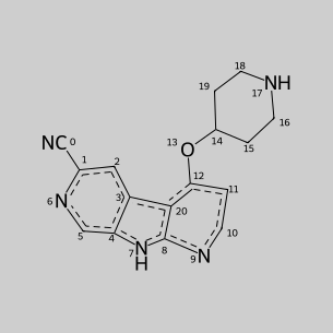 N#Cc1cc2c(cn1)[nH]c1nccc(OC3CCNCC3)c12